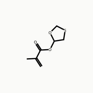 C=C(C)C(=O)OC1CSCO1